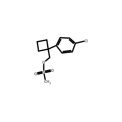 CS(=O)(=O)OCC1(c2ccc(Cl)cc2)CCC1